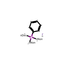 CCCCCCCCCC[P+](CCCCCCCCC)(CCCCCCCCC)c1ccccc1.[I-]